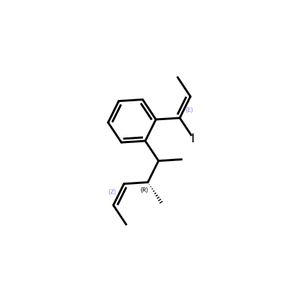 C/C=C\[C@@H](C)C(C)c1ccccc1/C(I)=C\C